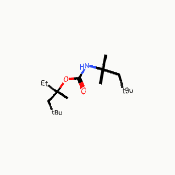 CCC(C)(CC(C)(C)C)OC(=O)NC(C)(C)CC(C)(C)C